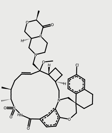 CO[C@@]1(CN2CCN3C(=O)[C@H](C)OC[C@@H]3C2)/C=C/C[C@H](C)[C@@H](C)S(=O)(=O)NC(=O)c2ccc3c(c2)N(C[C@@H]2CC[C@H]21)C[C@@]1(CCCc2cc(Cl)ccc21)CO3